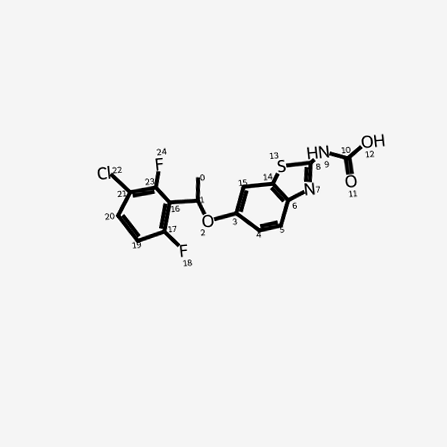 CC(Oc1ccc2nc(NC(=O)O)sc2c1)c1c(F)ccc(Cl)c1F